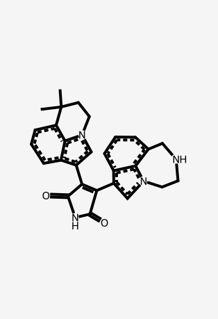 CC1(C)CCn2cc(C3=C(c4cn5c6c(cccc46)CNCC5)C(=O)NC3=O)c3cccc1c32